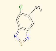 O=[N+]([O-])c1cc2nsnc2cc1Cl